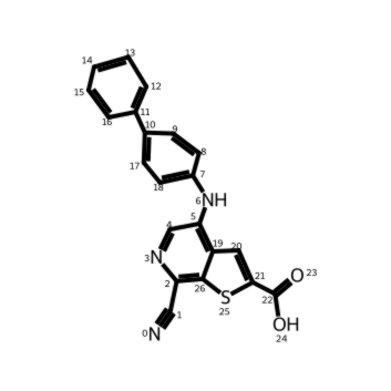 N#Cc1ncc(Nc2ccc(-c3ccccc3)cc2)c2cc(C(=O)O)sc12